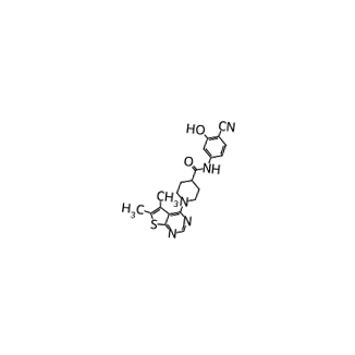 Cc1sc2ncnc(N3CCC(C(=O)Nc4ccc(C#N)c(O)c4)CC3)c2c1C